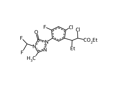 CCOC(=O)C(Cl)C(CC)c1cc(-n2nc(C)n(C(F)F)c2=O)c(F)cc1Cl